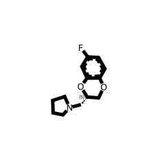 Fc1ccc2c(c1)O[C@@H](CN1CCCC1)CO2